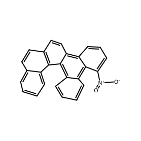 O=[N+]([O-])c1cccc2c3ccc4ccc5ccccc5c4c3c3ccccc3c12